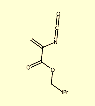 C=C(N=C=O)C(=O)OCC(C)C